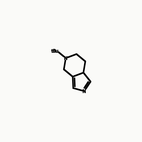 CC(C)(C)N1CCC2C=NC=C2C1